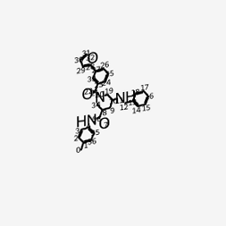 Cc1ccc(NC(=O)C2CC(NCc3ccccc3)CN(C(=O)c3cccc(-c4ccco4)c3)C2)cc1